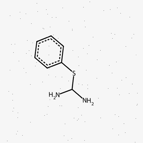 NC(N)Sc1ccccc1